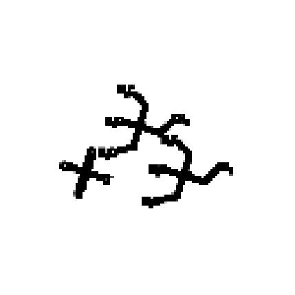 CC[N+](C)(CC)CC.CC[N+](C)(CC)CC.O=S(=O)([O-])[O-]